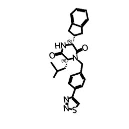 CC(C)C[C@@H]1C(=O)N[C@H](C2Cc3ccccc3C2)C(=O)N1Cc1ccc(-c2csnn2)cc1